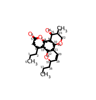 CCCc1cc(=O)oc2c3c(c4c(c12)OC(CCC)C=C4)OCC(C)C3=O